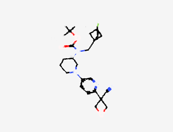 CC(C)(C)OC(=O)N(CC12CC(F)(C1)C2)[C@@H]1CCCN(c2ccc(C3(C#N)COC3)nc2)C1